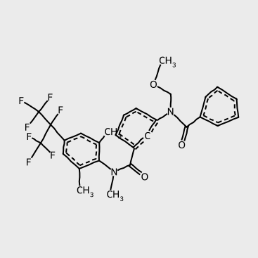 COCN(C(=O)c1ccccc1)c1cccc(C(=O)N(C)c2c(C)cc(C(F)(C(F)(F)F)C(F)(F)F)cc2C)c1